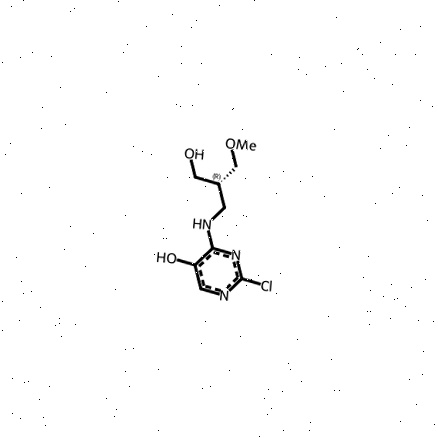 COC[C@@H](CO)CNc1nc(Cl)ncc1O